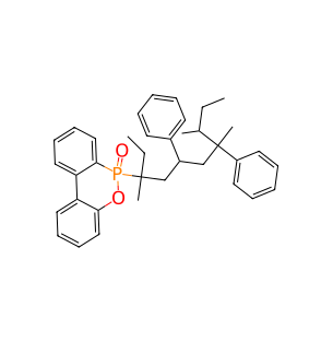 CCC(C)C(C)(CC(CC(C)(CC)P1(=O)Oc2ccccc2-c2ccccc21)c1ccccc1)c1ccccc1